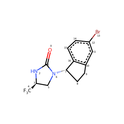 O=C1N[C@H](C(F)(F)F)CN1[C@H]1CCc2cc(Br)ccc21